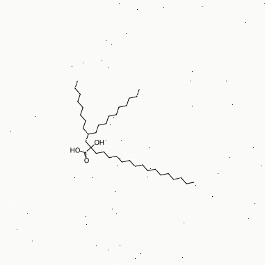 CCCCCCCCCCCCCCCCC(O)(CC(CCCCCCCC)CCCCCCCCCC)C(=O)O